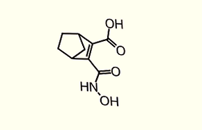 O=C(O)C1=C(C(=O)NO)C2CCC1C2